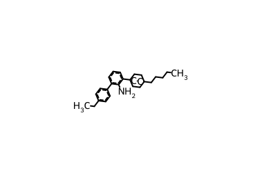 CCCCCC12CCC(c3cccc(-c4ccc(CC)cc4)c3N)(CC1)CC2